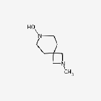 CN1CC2(CCN(O)CC2)C1